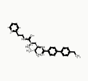 CCc1ccc(-c2ccc(C(=O)N[C@H](CN(O)C(=O)NCCc3ccccn3)[C@@H](C)O)cc2)cc1